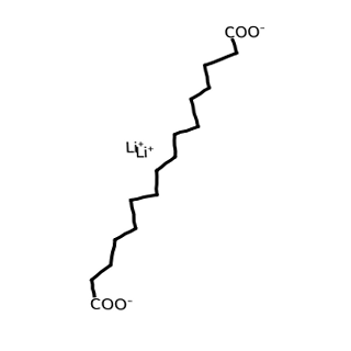 O=C([O-])CCCCCCCCCCCCCCC(=O)[O-].[Li+].[Li+]